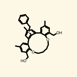 Cc1cc(CO)c2c(c1)-c1cc(C)cc(c1OCc1ccccc1)-c1cc(C)cc(CO)c1OCCCCO2